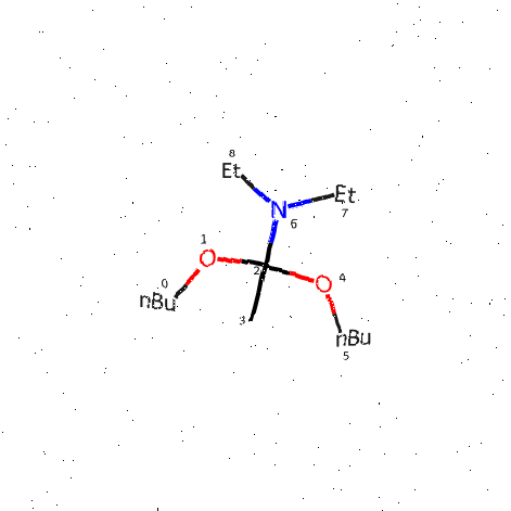 CCCCOC(C)(OCCCC)N(CC)CC